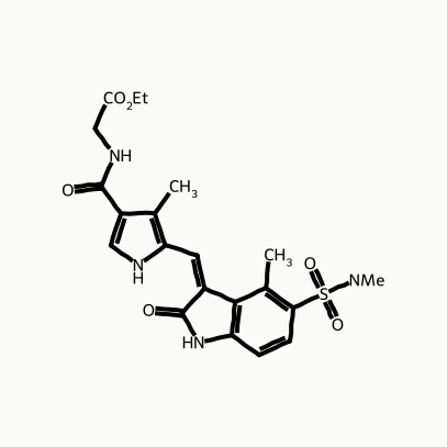 CCOC(=O)CNC(=O)c1c[nH]c(C=C2C(=O)Nc3ccc(S(=O)(=O)NC)c(C)c32)c1C